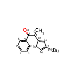 CC(C(=O)c1ccccc1)C1=CC(C(C)(C)C)=CC1